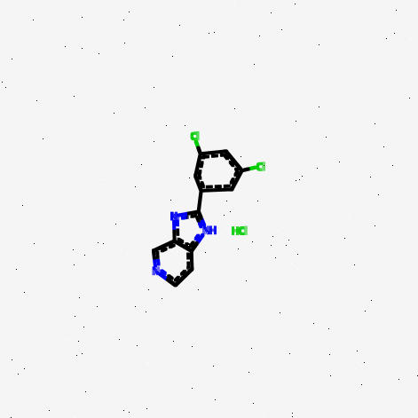 Cl.Clc1cc(Cl)cc(-c2nc3cnccc3[nH]2)c1